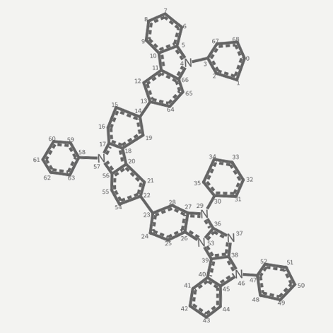 c1ccc(-n2c3ccccc3c3cc(-c4ccc5c(c4)c4cc(-c6ccc7c(c6)n(-c6ccccc6)c6nc8c(c9ccccc9n8-c8ccccc8)n76)ccc4n5-c4ccccc4)ccc32)cc1